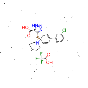 O=C(O)C(F)(F)F.O=C(O)c1[nH]nnc1SC1(N2CCCCC2)C=CC(c2cccc(Cl)c2)=CC1